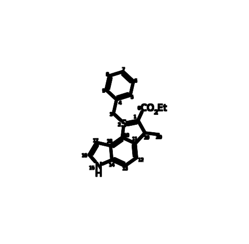 CCOC(=O)C1=S(Cc2ccccc2)c2c(ccc3[nH]ccc23)C1C